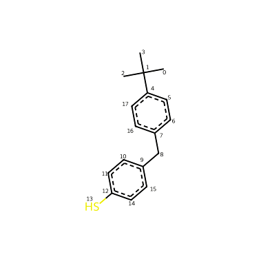 CC(C)(C)c1ccc(Cc2ccc(S)cc2)cc1